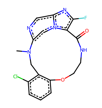 CN1Cc2c(Cl)cccc2OCCNC(=O)c2c(F)nc3cnc1cn23